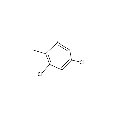 Cc1[c]cc(Cl)cc1Cl